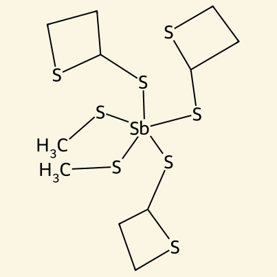 C[S][Sb]([S]C)([S]C1CCS1)([S]C1CCS1)[S]C1CCS1